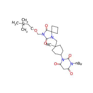 CCCCN1C(=O)CC(=O)N(C2CCC(C#N)(CN3C(=O)N(COCC[Si](C)(C)C)C(=O)C34CCC4)CC2)C1=O